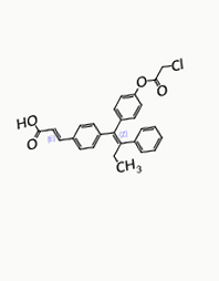 CC/C(=C(\c1ccc(/C=C/C(=O)O)cc1)c1ccc(OC(=O)CCl)cc1)c1ccccc1